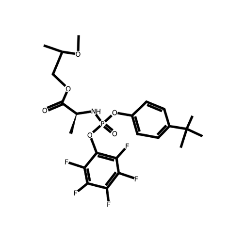 COC(C)COC(=O)[C@H](C)NP(=O)(Oc1ccc(C(C)(C)C)cc1)Oc1c(F)c(F)c(F)c(F)c1F